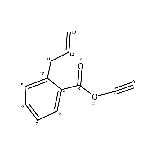 C#COC(=O)c1ccccc1CC=C